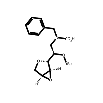 CC(C)(C)O[C@H](CN(Cc1ccccc1)C(=O)O)[C@H]1OC[C@@H]2O[C@H]12